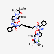 CN[C@@H](C)C(=O)N[C@H](C(=O)N1CCC[C@H]1C(=O)N[C@H](C(=O)NCCC#CC#CCCNC(=O)[C@@H](NC(=O)[C@@H]1CCCN1C(=O)[C@@H](NC(=O)[C@H](C)N(C)Cl)C(C)(C)C)C1CCCCC1)C1CCCCC1)C(C)(C)C